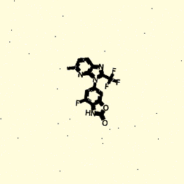 Cc1ccc2nc(C(F)(F)F)n(-c3cc(F)c4[nH]c(=O)oc4c3)c2n1